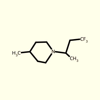 CC1CCN(C(C)CC(F)(F)F)CC1